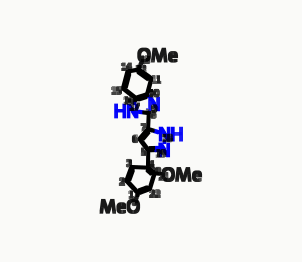 COc1ccc(-c2cc(-c3nc4cc(OC)ccc4[nH]3)[nH]n2)c(OC)c1